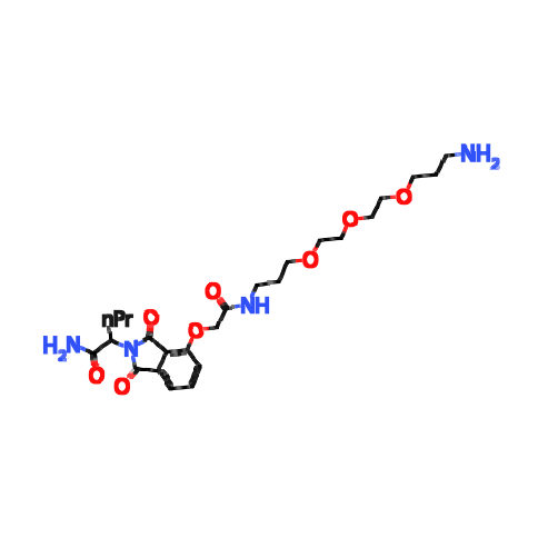 CCCC(C(N)=O)N1C(=O)c2cccc(OCC(=O)NCCCOCCOCCOCCCN)c2C1=O